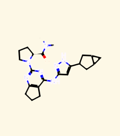 CN(C)C(=O)[C@@H]1CCCN1c1nc2c(c(Nc3cc(C4CC5CC5C4)[nH]n3)n1)CCC2